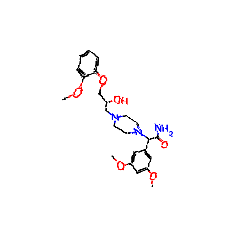 COc1cc(OC)cc(C(C(N)=O)N2CCN(CC(O)COc3ccccc3OC)CC2)c1